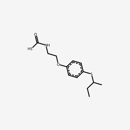 CCC(C)Sc1ccc(OCCNC(=O)S)cc1